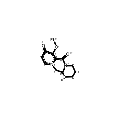 CCOc1c2n(ccc1=O)CC1OCCCN1C2=O